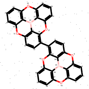 c1cc2c3c(c1)Oc1ccc(-c4ccc5c6c4Oc4cccc7c4B6c4c(cccc4O5)O7)c4c1B3c1c(cccc1O4)O2